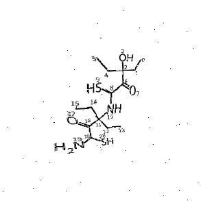 CCC(O)(CC)C(=O)C(S)NC(CC)(CC)C(=O)C(N)S